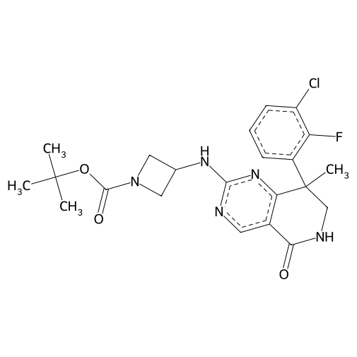 CC(C)(C)OC(=O)N1CC(Nc2ncc3c(n2)C(C)(c2cccc(Cl)c2F)CNC3=O)C1